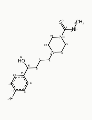 CNC(=S)N1CCN(CCCC(O)c2ccc(F)cc2)CC1